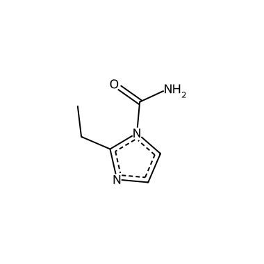 CCc1nccn1C(N)=O